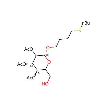 CCCCSCCCCO[C@@H]1OC(CO)[C@@H](OC(C)=O)[C@H](OC(C)=O)C1OC(C)=O